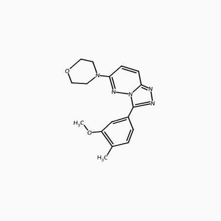 COc1cc(-c2nnc3ccc(N4CCOCC4)nn23)ccc1C